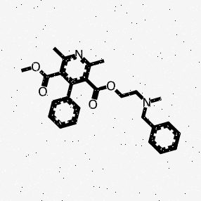 COC(=O)c1c(C)nc(C)c(C(=O)OCCN(C)Cc2ccccc2)c1-c1ccccc1